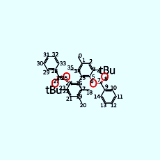 Cc1cc(C(C)(C)C)c(OC(=O)c2ccccc2)c(-c2c(C)c(C)cc(C(C)(C)C)c2OC(=O)c2ccccc2)c1C